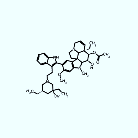 CC[C@@H]1CN(CCc2c(-c3cc4c(cc3OC)N(C)C3[C@H](O)[C@H](OC(C)=O)[C@]5(CC)C=CCN6CC[C@]43C65)[nH]c3ccccc23)C[C@](O)(CC)C1